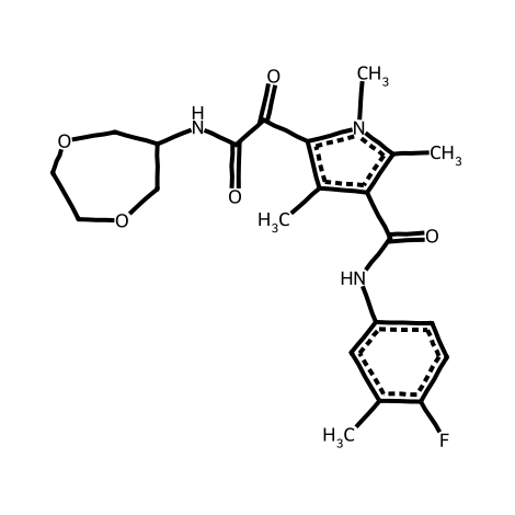 Cc1cc(NC(=O)c2c(C)c(C(=O)C(=O)NC3COCCOC3)n(C)c2C)ccc1F